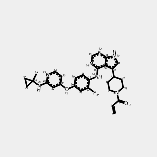 C=CC(=O)N1CCC(c2c[nH]c3ncnc(Nc4ccc(Oc5ccnc(NC6(C)CC6)c5)cc4F)c23)CC1